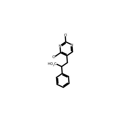 O=C(O)C(Cc1cnc(Cl)nc1Cl)c1ccccc1